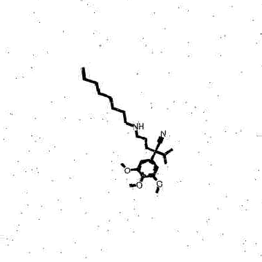 CCCCCCCCNCCCC(C#N)(c1cc(OC)c(OC)c(OC)c1)C(C)C